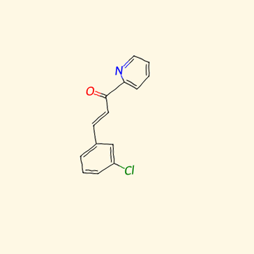 O=C(/C=C/c1cccc(Cl)c1)c1ccccn1